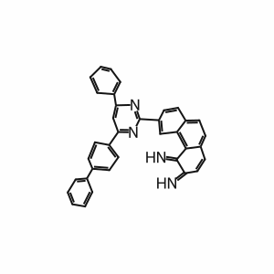 N=C1C=Cc2ccc3ccc(-c4nc(-c5ccccc5)cc(-c5ccc(-c6ccccc6)cc5)n4)cc3c2C1=N